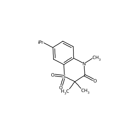 CC(C)c1ccc2c(c1)S(=O)(=O)C(C)(C)C(=O)N2C